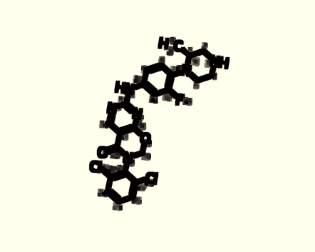 C[C@H]1CNCCN1c1ccc(Nc2ncc3c(n2)OCN(c2c(Cl)cccc2Cl)C3=O)cc1F